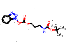 CC(C)(C)OC(=O)NCCCOC(=O)On1nnc2ccccc21